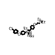 CCCCc1nc(-c2ccc(OCCCN(CC)CC)cc2)c(CC)n1-c1ccc(Oc2ccc(Cl)cc2)cc1